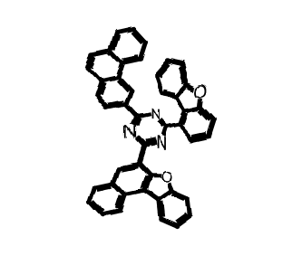 c1ccc2c(c1)ccc1ccc(-c3nc(-c4cc5ccccc5c5c4oc4ccccc45)nc(-c4cccc5oc6ccccc6c45)n3)cc12